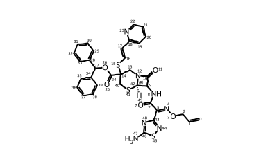 C=CCON=C(C(=O)NC1C(=O)N2CC(SC=Cc3ccccn3)(C(=O)OC(c3ccccc3)c3ccccc3)CS[C@H]12)c1nsc(N)n1